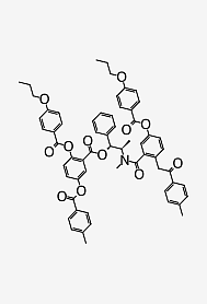 CCCOc1ccc(C(=O)Oc2ccc(CC(=O)c3ccc(C)cc3)c(C(=O)N(C)[C@H](C)[C@@H](OC(=O)c3cc(OC(=O)c4ccc(C)cc4)ccc3OC(=O)c3ccc(OCCC)cc3)c3ccccc3)c2)cc1